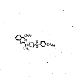 COc1ccc(S(=O)(=O)N2CCN(C(C)c3nc(OC(C)C)c4ccccc4n3)CC2)cc1